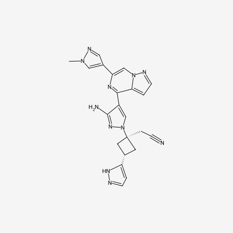 Cn1cc(-c2cn3nccc3c(-c3cn([C@]4(CC#N)C[C@@H](c5ccn[nH]5)C4)nc3N)n2)cn1